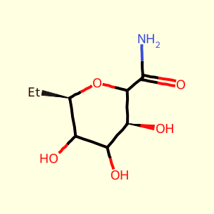 CC[C@H]1OC(C(N)=O)[C@@H](O)C(O)C1O